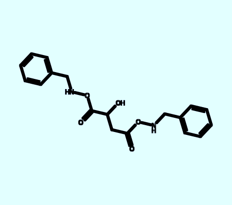 O=C(CC(O)C(=O)ONCc1ccccc1)ONCc1ccccc1